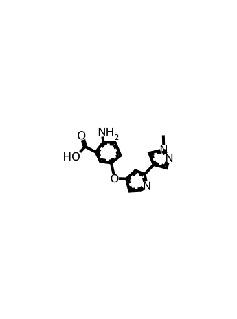 Cn1cc(-c2cc(Oc3ccc(N)c(C(=O)O)c3)ccn2)cn1